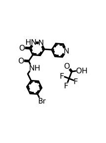 O=C(NCc1ccc(Br)cc1)c1cc(-c2ccncc2)n[nH]c1=O.O=C(O)C(F)(F)F